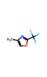 Cc1coc(C(F)(F)F)n1